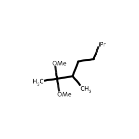 COC(C)(OC)C(C)CCC(C)C